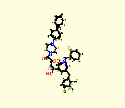 O=C(/C=C(/O)c1cc(Cc2ccc(F)c(F)c2F)cn(Cc2ccccc2F)c1=O)C(=O)N1CCN(c2ccc(-c3ccccc3)cc2)CC1